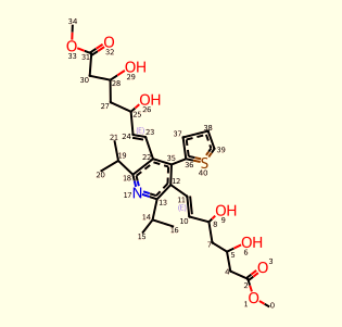 COC(=O)CC(O)CC(O)/C=C/c1c(C(C)C)nc(C(C)C)c(/C=C/C(O)CC(O)CC(=O)OC)c1-c1cccs1